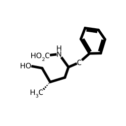 C[C@H](CO)CC(Cc1ccccc1)NC(=O)O